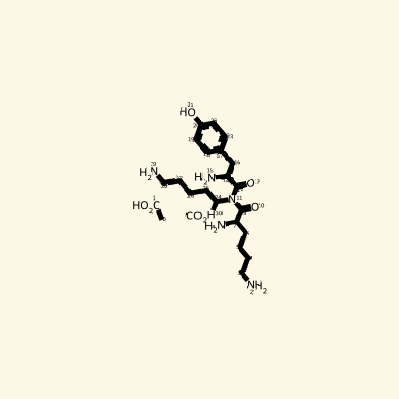 CC(=O)O.NCCCCC(N)C(=O)N(C(=O)C(N)Cc1ccc(O)cc1)C(CCCCN)C(=O)O